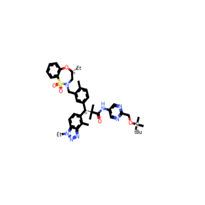 CC[C@@H]1CN(Cc2cc([C@@H](c3ccc4c(nnn4CC)c3C)C(C)(C)C(=O)Nc3cnc(CO[Si](C)(C)C(C)(C)C)nc3)ccc2C)S(=O)(=O)c2ccccc2O1